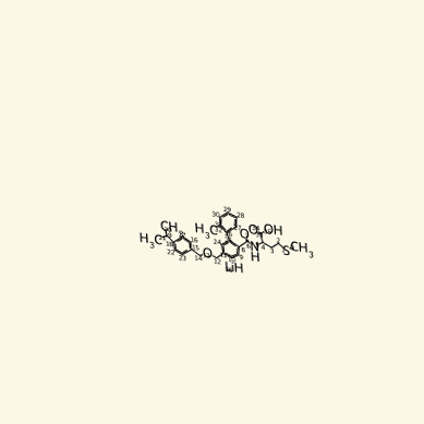 CSCCC(NC(=O)c1ccc(COCc2ccc(C(C)C)cc2)cc1-c1ccccc1C)C(=O)O.[LiH]